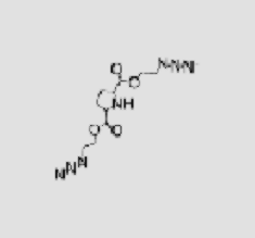 [N-]=[N+]=NCCOC(=O)C1CCC(C(=O)OCCN=[N+]=[N-])N1